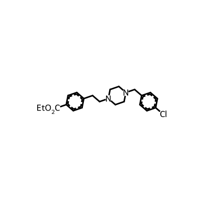 CCOC(=O)c1ccc(CCN2CCN(Cc3ccc(Cl)cc3)CC2)cc1